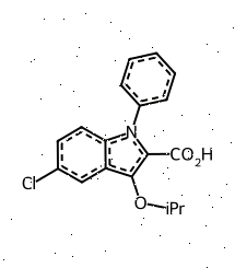 CC(C)Oc1c(C(=O)O)n(-c2ccccc2)c2ccc(Cl)cc12